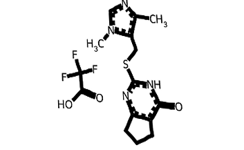 Cc1ncn(C)c1CSc1nc2c(c(=O)[nH]1)CCC2.O=C(O)C(F)(F)F